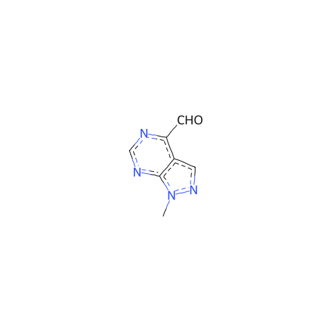 Cn1ncc2c(C=O)ncnc21